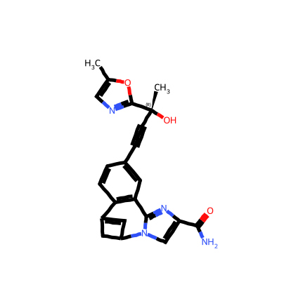 Cc1cnc([C@](C)(O)C#Cc2ccc3c(c2)-c2nc(C(N)=O)cn2C2C=C3C2)o1